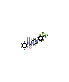 O=C(NC1CCCCC1)N1CCN(c2ccc(C(F)(F)F)cc2)CC1